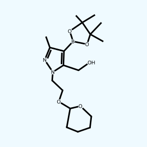 Cc1nn(CCOC2CCCCO2)c(CO)c1B1OC(C)(C)C(C)(C)O1